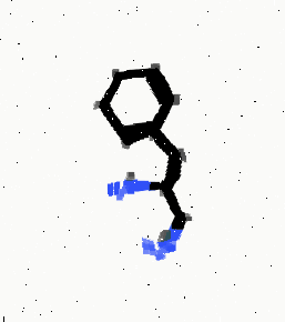 NC[C@@H](N)CC1=CCCC=C1